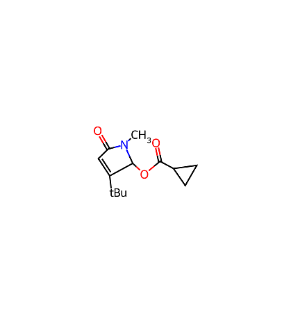 CN1C(=O)C=C(C(C)(C)C)C1OC(=O)C1CC1